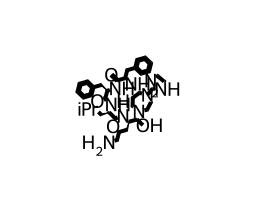 CC(C)C[C@@H](NC(=O)[C@@H](Cc1ccccc1)NC(=O)[C@H](N)Cc1ccccc1)C(=O)N[C@H](CCCN)C(O)N1CCCN(C2=NCCN2)CC1